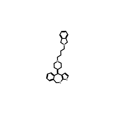 c1ccc2c(c1)CN(CCCCN1CCC(=C3c4ccccc4CSc4sccc43)CC1)C2